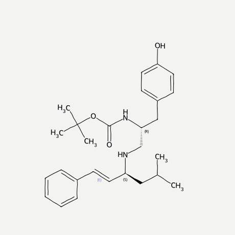 CC(C)C[C@@H](/C=C/c1ccccc1)NC[C@@H](Cc1ccc(O)cc1)NC(=O)OC(C)(C)C